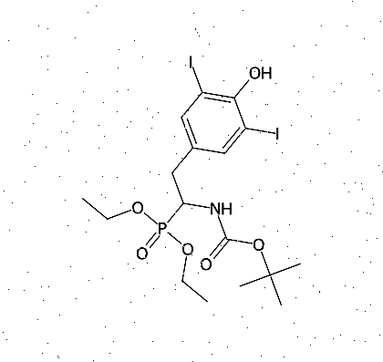 CCOP(=O)(OCC)C(Cc1cc(I)c(O)c(I)c1)NC(=O)OC(C)(C)C